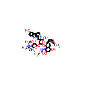 CC#C/C=C\C#C[C@H](OC1OC(C)C(F)(C(=O)c2nccc3c2[nH]c2ccc(O)cc23)CC1OC1CC(OC)C(NC(C)C)CO1)C1=C(NC(=O)OC)C(=O)C[C@H](O)/C1=C/CS(C)=S